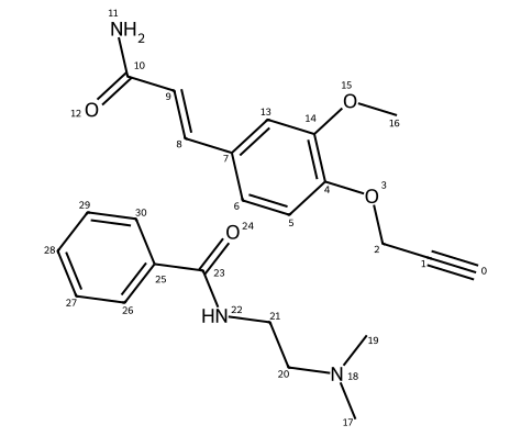 C#CCOc1ccc(/C=C/C(N)=O)cc1OC.CN(C)CCNC(=O)c1ccccc1